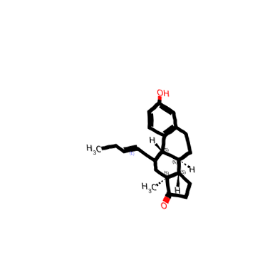 CC/C=C/C1C[C@]2(C)C(=O)CC[C@H]2[C@@H]2CCc3cc(O)ccc3[C@@H]12